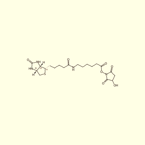 O=C(CCCC[C@@H]1SC[C@@H]2NC(=O)N[C@@H]21)NCCCCCC(=O)ON1C(=O)CC(O)C1=O